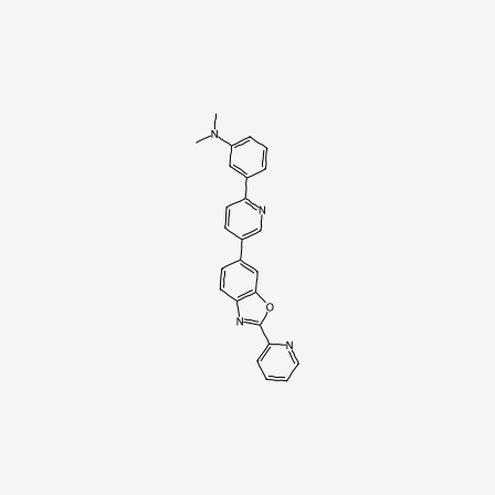 CN(C)c1cccc(-c2ccc(-c3ccc4nc(-c5ccccn5)oc4c3)cn2)c1